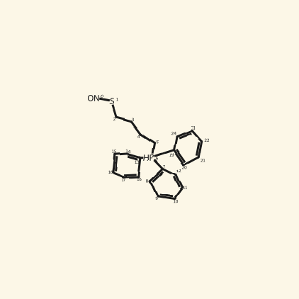 O=NSCCCC[PH](c1ccccc1)(c1ccccc1)c1ccccc1